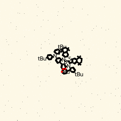 CC(C)(C)c1ccc(N(c2ccc(C(C)(C)C)cc2)c2ccc3c(c2)N(c2ccc4c(c2)C(C)(C)CCC4(C)C)B2c4sc5cc6c(cc5c4N(c4ccc(C(C)(C)C)cc4-c4ccccc4)c4cc(C(C)(C)C)cc-3c42)C(C)(C)CCC6(C)C)cc1